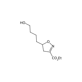 CCOC(=O)C1=NOC(CCCCO)C1